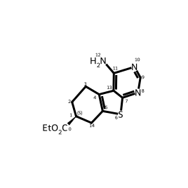 CCOC(=O)[C@H]1CCc2c(sc3ncnc(N)c23)C1